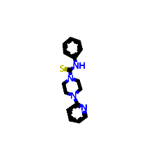 S=C(Nc1ccccc1)N1CCN(c2ccccn2)CC1